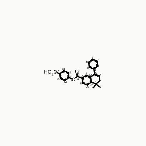 CC1(C)CC=C(c2ccccc2)c2cc(C(=O)Oc3ccc(C(=O)O)cc3)ccc21